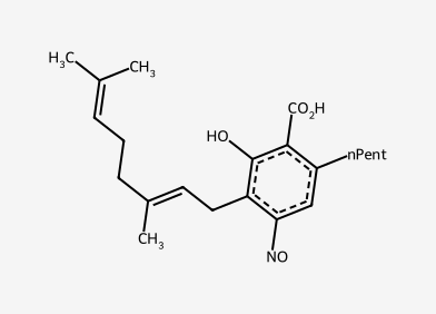 CCCCCc1cc(N=O)c(C/C=C(\C)CCC=C(C)C)c(O)c1C(=O)O